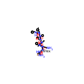 C=CCN(CC(=O)N(CC(=O)N(CCCCN)CC(=O)N(CCCCCC)CC(=O)NC(CS)C(N)=O)C(C)c1ccccc1)C(=O)CN(Cc1ccco1)C(=O)CN(C(=O)CN(Cc1cccc(C)c1)C(=O)CNCc1ccccc1)C1CCCC1